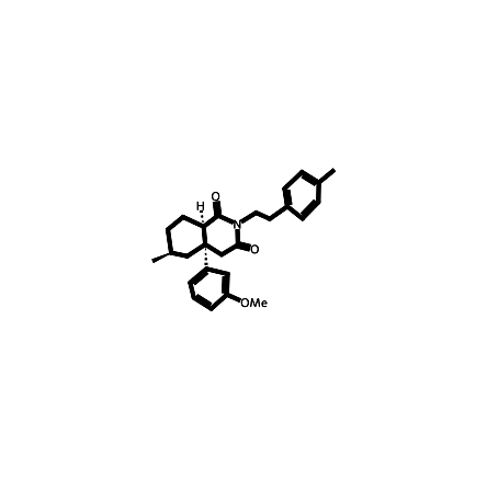 COc1cccc([C@@]23CC(=O)N(CCc4ccc(C)cc4)C(=O)[C@@H]2CC[C@H](C)C3)c1